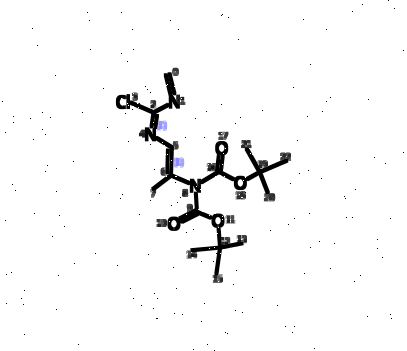 C=N/C(Cl)=N\C=C(/C)N(C(=O)OC(C)(C)C)C(=O)OC(C)(C)C